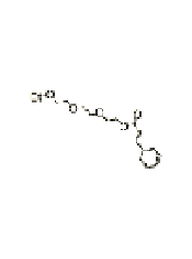 CCOCCOCCOCCOC(=O)C=Cc1ccccc1